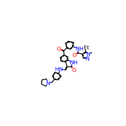 CCc1c(C(=O)Nc2cccc(C(=O)c3ccc4c(c3)NC(=O)C4=CNc3ccc(CN4CCCC4)cc3)c2)cnn1C